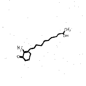 CC1=C(CCCCCCCCCC(C)O)CCCC1=O